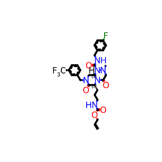 C=CCOC(=O)NCCC[C@H]1C(=O)N(Cc2cccc(C(F)(F)F)c2)C[C@H]2N1C(=O)CN(C)N2C(=O)NCc1ccc(F)cc1